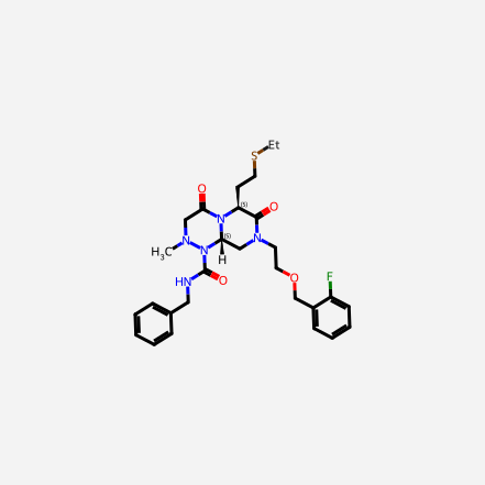 CCSCC[C@H]1C(=O)N(CCOCc2ccccc2F)C[C@H]2N1C(=O)CN(C)N2C(=O)NCc1ccccc1